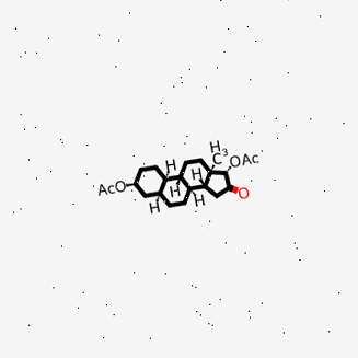 CC(=O)O[C@H]1CC[C@@H]2[C@@H](CC[C@H]3[C@H]2CC[C@@]2(C)[C@H](OC(C)=O)C(=O)C[C@H]32)C1